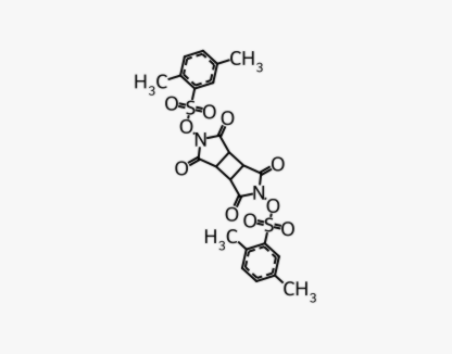 Cc1ccc(C)c(S(=O)(=O)ON2C(=O)C3C(C2=O)C2C(=O)N(OS(=O)(=O)c4cc(C)ccc4C)C(=O)C32)c1